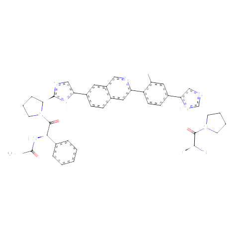 COC(=O)N[C@@H](C(=O)N1CCC[C@H]1c1ncc(-c2ccc3cc(-c4ccc(-c5cnc([C@@H]6CCCN6C(=O)[C@@H](N)C(C)C)[nH]5)cc4F)ncc3c2)[nH]1)c1ccccc1